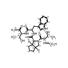 C[C@@H](O)[C@H](NC(=O)C(Cc1c[nH]c2ccccc12)NC(=O)[C@@H]1[C@H]2CCC[C@H]2CN1C(=O)[C@@H](NC(=O)O)[C@@H](C)O)C(N)=O